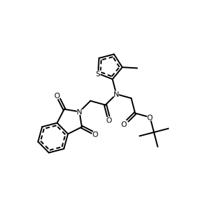 Cc1ccsc1N(CC(=O)OC(C)(C)C)C(=O)CN1C(=O)c2ccccc2C1=O